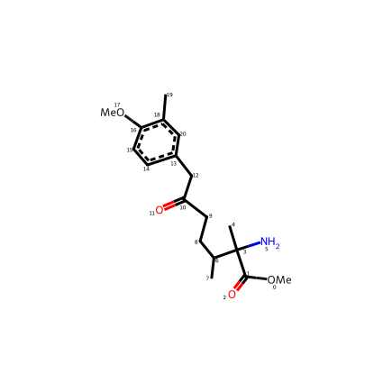 COC(=O)C(C)(N)C(C)CCC(=O)Cc1ccc(OC)c(C)c1